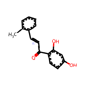 Cc1ccccc1/C=C/C(=O)c1ccc(O)cc1O